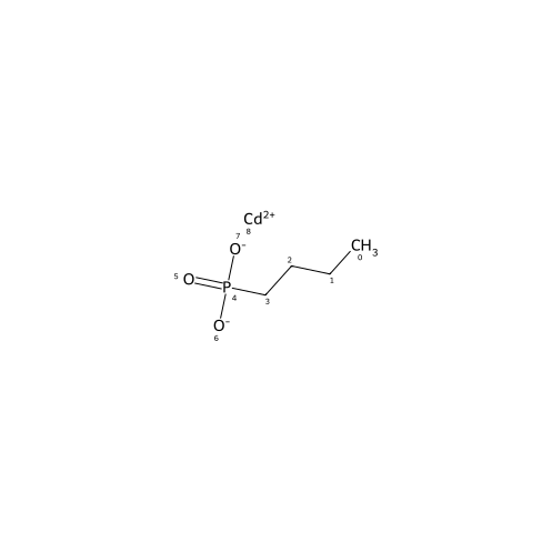 CCCCP(=O)([O-])[O-].[Cd+2]